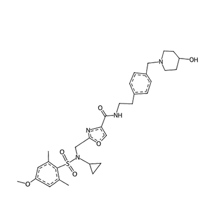 COc1cc(C)c(S(=O)(=O)N(Cc2nc(C(=O)NCCc3ccc(CN4CCC(O)CC4)cc3)co2)C2CC2)c(C)c1